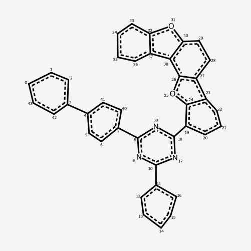 c1ccc(-c2ccc(-c3nc(-c4ccccc4)nc(-c4cccc5c4oc4c5ccc5oc6ccccc6c54)n3)cc2)cc1